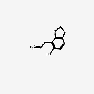 C=CCc1c(O)ccc2c1OCO2